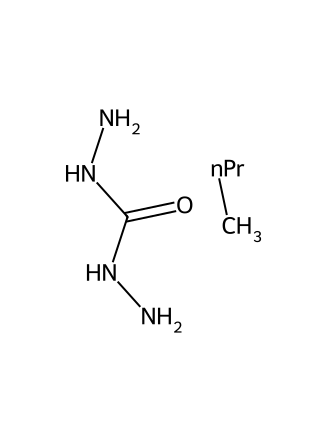 CCCC.NNC(=O)NN